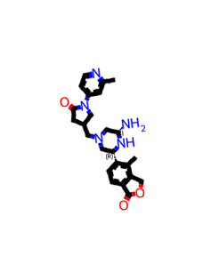 Cc1cc(N2CC(CN3C[C@@H](c4ccc5c(c4C)COC5=O)N[C@@H](N)C3)CC2=O)ccn1